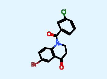 O=C1CCN(C(=O)c2cccc(Cl)c2)c2ccc(Br)cc21